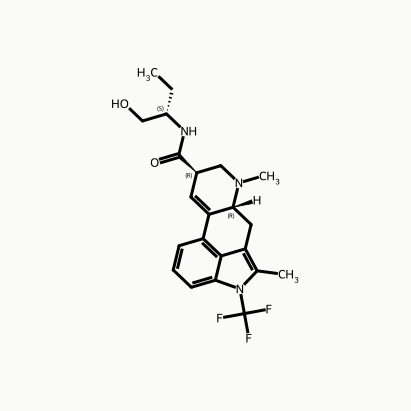 CC[C@@H](CO)NC(=O)[C@@H]1C=C2c3cccc4c3c(c(C)n4C(F)(F)F)C[C@H]2N(C)C1